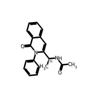 CC(=O)N[C@@H](C)c1cc2ccccc2c(=O)n1-c1ccccc1